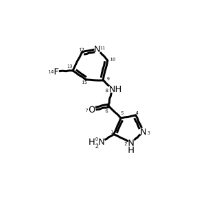 Nc1[nH]ncc1C(=O)Nc1cncc(F)c1